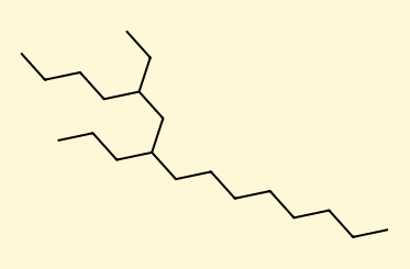 CCCCCCCCC(CCC)CC(CC)CCCC